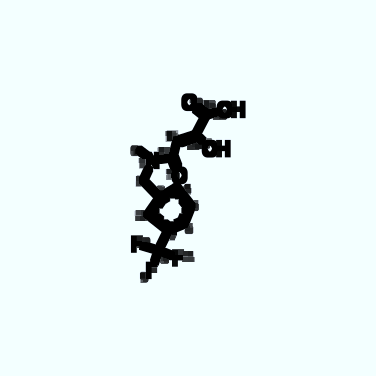 CN(Cc1cccc(C(F)(F)F)c1)C(=O)C=C(O)C(=O)O